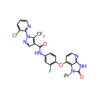 CC(C)n1c(=O)[nH]c2nccc(Oc3ccc(NC(=O)c4cnn(-c5ncccc5Cl)c4C(F)(F)F)cc3F)c21